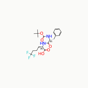 CC(C)(C)OC(=O)N[C@H](Cc1ccccc1)C(=O)N[C@H](CCCC(F)(F)F)C(=O)O